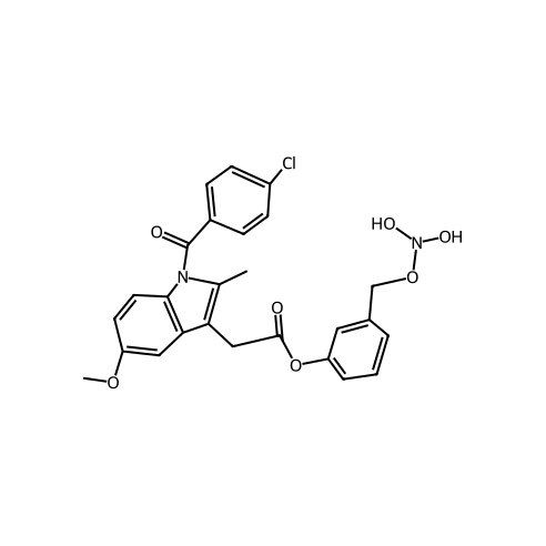 COc1ccc2c(c1)c(CC(=O)Oc1cccc(CON(O)O)c1)c(C)n2C(=O)c1ccc(Cl)cc1